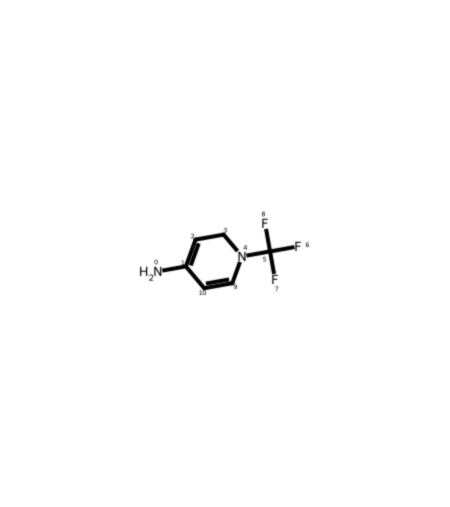 NC1=CCN(C(F)(F)F)C=C1